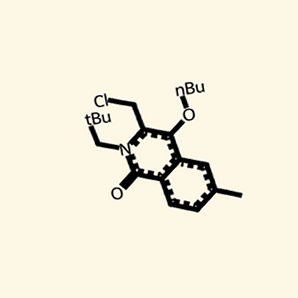 CCCCOc1c(CCl)n(CC(C)(C)C)c(=O)c2ccc(C)cc12